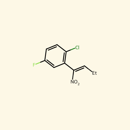 CCC=C(c1cc(F)ccc1Cl)[N+](=O)[O-]